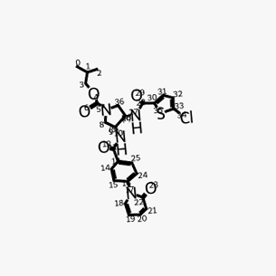 CC(C)COC(=O)N1C[C@H](NC(=O)c2ccc(-n3ccccc3=O)cc2)[C@H](NC(=O)c2ccc(Cl)s2)C1